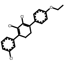 CCOc1ccc(C2=C(Cl)C(Cl)=C(c3cccc(Cl)c3)[CH]C2)cc1